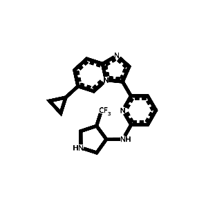 FC(F)(F)C1CNCC1Nc1cccc(-c2cnc3ccc(C4CC4)cn23)n1